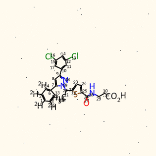 [2H]c1c([2H])c([2H])c(-c2cc(-c3cc(Cl)cc(Cl)c3)nn2C(C)c2ccc(C(=O)NCCC(=O)O)s2)c([2H])c1[2H]